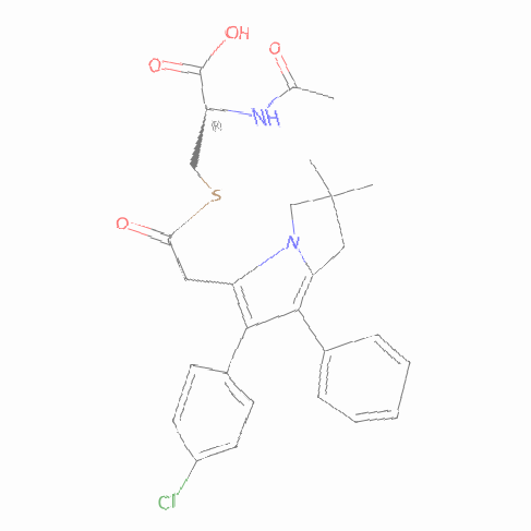 CC(=O)N[C@@H](CSC(=O)Cc1c(-c2ccc(Cl)cc2)c(-c2ccccc2)c2n1CC(C)(C)C2)C(=O)O